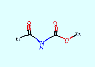 CCOC(=O)NC(=O)CC